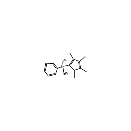 CCC[Si](CCC)(C1=C(C)C(C)=C(C)C1C)c1ccccc1